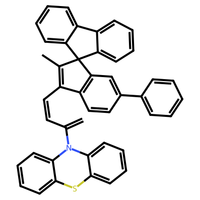 C=C(/C=C\C1=C(C)C2(c3cc(-c4ccccc4)ccc31)c1ccccc1-c1ccccc12)N1c2ccccc2Sc2ccccc21